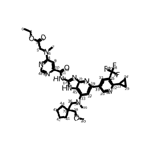 CCOC(=O)CN(C)c1cc(C(=O)Nc2nc3nc(-c4cnc(C5CC5)c(C(F)(F)F)c4)cc(N(C)CC4(COC)CCCC4)c3[nH]2)ncn1